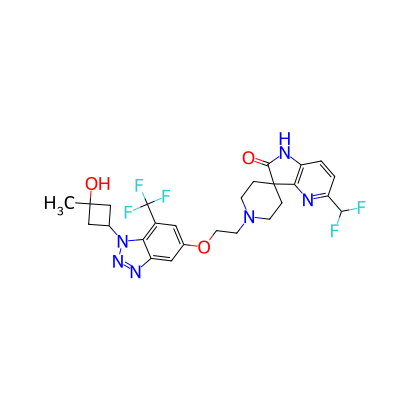 CC1(O)CC(n2nnc3cc(OCCN4CCC5(CC4)C(=O)Nc4ccc(C(F)F)nc45)cc(C(F)(F)F)c32)C1